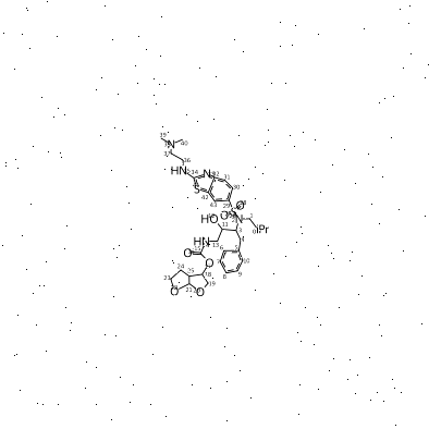 CC(C)CN(C(Cc1ccccc1)C(O)CNC(=O)OC1COC2OCCC12)S(=O)(=O)c1ccc2nc(NCCN(C)C)sc2c1